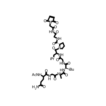 CC[C@H](C)[C@H](NC(=O)C(C)NC(=O)CNC(=O)C(CCC(N)=O)NC(C)=O)C(=O)NCC(=O)NC(CC(C)C)C(=O)N1CCC[C@H]1C(=O)NCC(=O)NC(=O)CN1C(=O)C=CC1=O